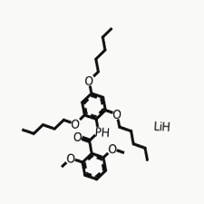 CCCCCOc1cc(OCCCCC)c(PC(=O)c2c(OC)cccc2OC)c(OCCCCC)c1.[LiH]